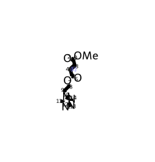 COC(=O)/C=C/C(=O)OCCn1cnnn1